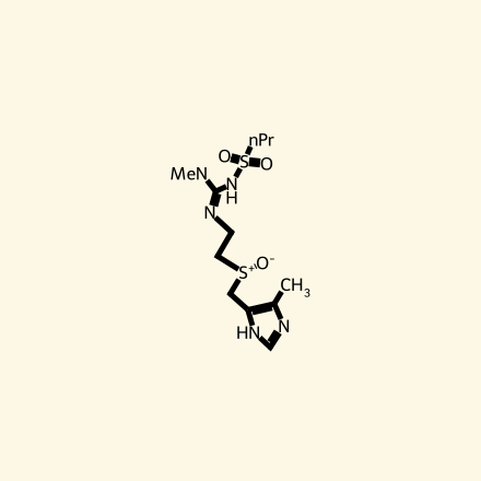 CCCS(=O)(=O)NC(=NCC[S+]([O-])Cc1[nH]cnc1C)NC